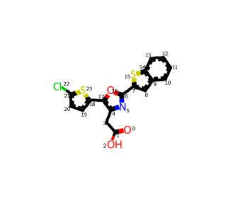 O=C(O)Cc1nc(-c2cc3ccccc3s2)oc1-c1ccc(Cl)s1